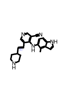 Cc1c(Nc2c(C#N)cncc2/C=C/C2CCNCC2)ccc2[nH]ccc12